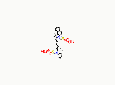 CC1(C)C(/C=C/C=C/C=C2/N(CSOOO)c3ccccc3C2(C)C)=[N+](CSOOO)c2ccc3ccccc3c21